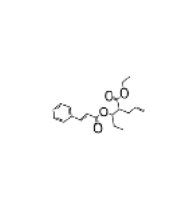 C=CCC(C(=O)OCC)C(CC)OC(=O)C=Cc1ccccc1